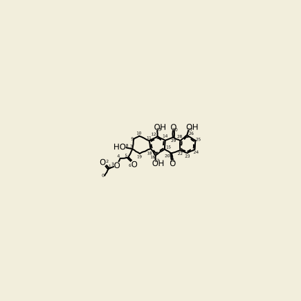 CC(=O)OCC(=O)C1(O)CCc2c(O)c3c(c(O)c2C1)C(=O)c1cccc(O)c1C3=O